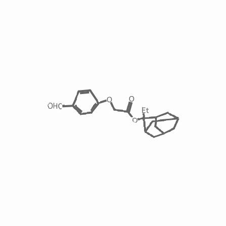 CCC1(OC(=O)COc2ccc(C=O)cc2)C2CC3CC(C2)CC1C3